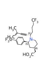 C=C(C)C#C[C@H](CCCC(F)(F)F)N1CC[C@@H](CC(=O)O)C[C@H]1c1ccc(C(F)(F)F)cc1